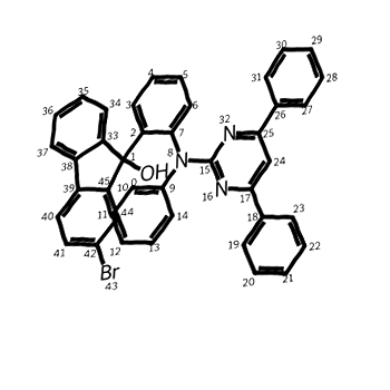 OC1(c2ccccc2N(c2ccccc2)c2nc(-c3ccccc3)cc(-c3ccccc3)n2)c2ccccc2-c2ccc(Br)cc21